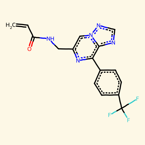 C=CC(=O)NCc1cn2ncnc2c(-c2ccc(C(F)(F)F)cc2)n1